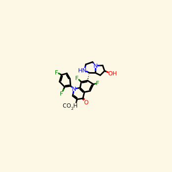 O=C(O)c1cn(-c2ccc(F)cc2F)c2c(F)c([C@@H]3NCCN4CC(O)CC34)c(F)cc2c1=O